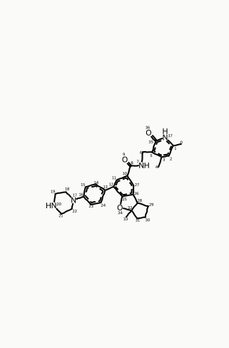 Cc1cc(C)c(CNC(=O)c2cc(-c3ccc(N4CCNCC4)cc3)c3c(c2)C2CCCC2(C)O3)c(=O)[nH]1